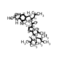 CC[C@H](C)CN(C)C(C[C@@H](OC(C)=O)c1nc(C(=O)N[C@@H](Cc2ccc(NP(O)O)c(N)c2)CC(C)C)cs1)C(C)C